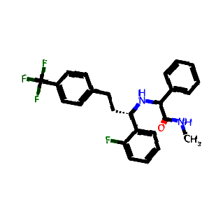 CNC(=O)C(N[C@@H](CCc1ccc(C(F)(F)F)cc1)c1ccccc1F)c1ccccc1